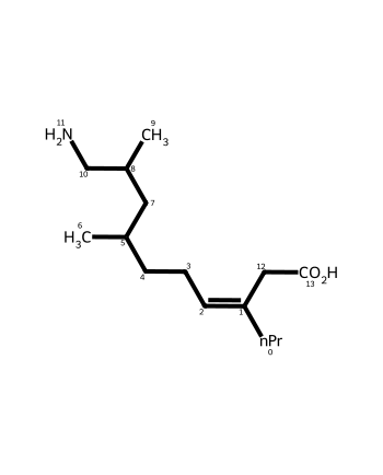 CCC/C(=C/CCC(C)CC(C)CN)CC(=O)O